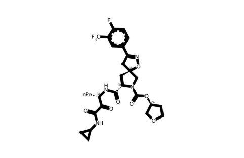 CCC[C@H](NC(=O)[C@@H]1C[C@]2(CC(c3ccc(F)c(C(F)(F)F)c3)=NO2)CN1C(=O)O[C@H]1CCOC1)C(=O)C(=O)NC1CC1